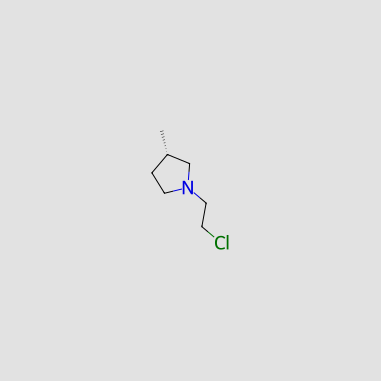 C[C@H]1CCN(CCCl)C1